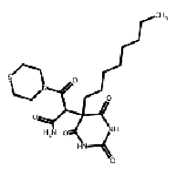 CCCCCCCCC1(C(C(N)=O)C(=O)N2CCSCC2)C(=O)NC(=O)NC1=O